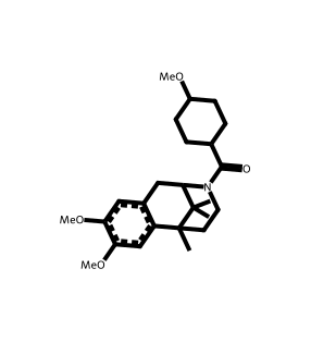 COc1cc2c(cc1OC)C1(C)CCN(C(=O)C3CCC(OC)CC3)C(C2)C1(C)C